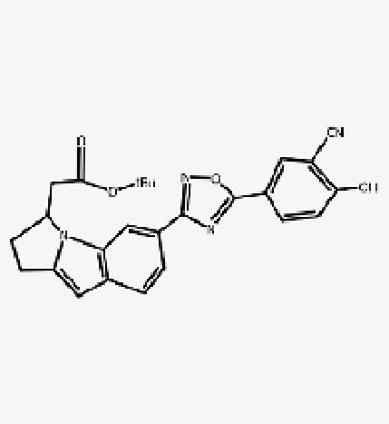 CC(C)(C)OC(=O)CC1CCc2cc3ccc(-c4noc(-c5ccc(O)c(C#N)c5)n4)cc3n21